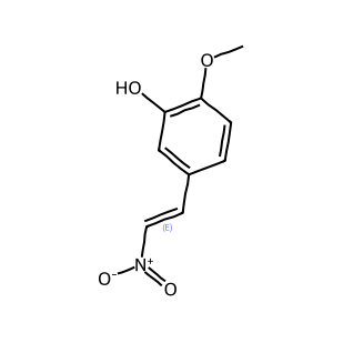 COc1ccc(/C=C/[N+](=O)[O-])cc1O